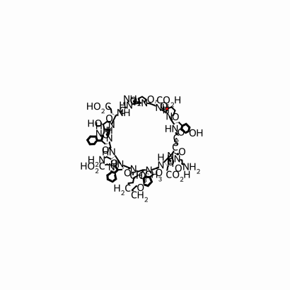 C=CCCC[C@H]1C(=O)N(C)[C@@H](Cc2ccc(OCC=C)cc2)C(=O)N[C@@H](CCC(=O)O)C(=O)N[C@H](C(=O)NCC(N)=O)CSCC(=O)N[C@@H](Cc2ccc(O)cc2)C(=O)N2CCCC[C@H]2C(=O)N[C@@H](CC(=O)O)C(=O)N2CCC[C@H]2C(=O)N[C@@H](CN)CN[C@@H](CCC(=O)O)C(=O)N2C[C@H](O)C[C@H]2C(=O)N[C@@H](Cc2c[nH]c3ccccc23)C(=O)N[C@@H](CCN)C(=O)N[C@@H](Cc2cn(CC(=O)O)c3ccccc23)C(=O)N1C